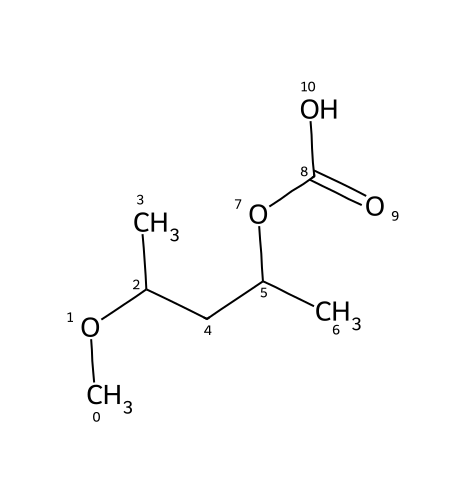 COC(C)CC(C)OC(=O)O